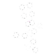 C=Cc1ccc(-c2ccc3c(c2)C2(c4ccccc4-3)c3ccccc3-c3ccc(-c4ccc5c(c4)C(C)(C)c4ccc(N(c6ccc(-c7ccccc7)cc6)c6ccc7c(c6)C(C)(C)c6ccccc6-7)cc4-5)cc32)cc1